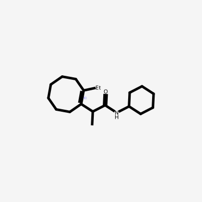 CC/C1=C(\C(C)C(=O)NC2CCCCC2)CCCCCC1